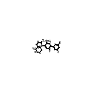 COc1cc(-c2cc(F)cc(F)c2)c(F)cc1-n1c2c(ccc1=O)C(C)NCC2